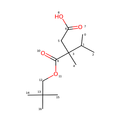 CC(C)C(C)(CC(=O)O)C(=O)OCC(C)(C)C